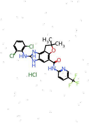 CC1(C)Cc2c3c(cc(C(=O)Nc4ccc(C(F)(F)F)cn4)c2O1)NC(Nc1c(Cl)cccc1Cl)N3.Cl